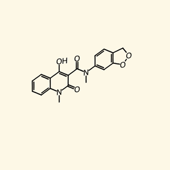 CN(C(=O)c1c(O)c2ccccc2n(C)c1=O)c1ccc2c(c1)OOC2